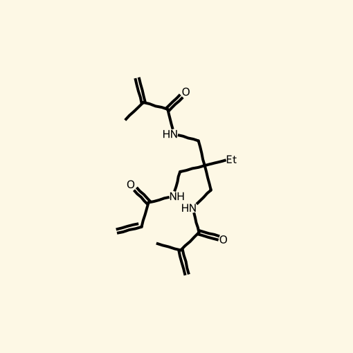 C=CC(=O)NCC(CC)(CNC(=O)C(=C)C)CNC(=O)C(=C)C